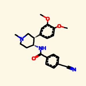 COc1ccc([C@H]2CN(C)CC[C@H]2NC(=O)c2ccc(C#N)cc2)cc1OC